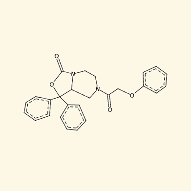 O=C(COc1ccccc1)N1CCN2C(=O)OC(c3ccccc3)(c3ccccc3)C2C1